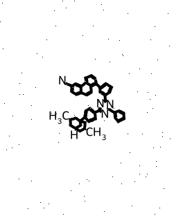 C[C@@H]1C[C@@H]2C[C@H](C)CC(c3ccc(-c4nc(-c5ccccc5)nc(-c5cccc(-c6cccc7c6ccc6ccc(C#N)cc67)c5)n4)cc3)(C1)C2